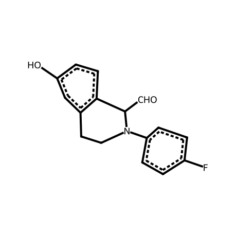 O=CC1c2ccc(O)cc2CCN1c1ccc(F)cc1